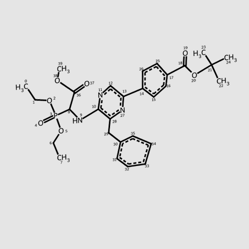 CCOP(=O)(OCC)C(Nc1ncc(-c2ccc(C(=O)OC(C)(C)C)cc2)nc1Cc1ccccc1)C(=O)OC